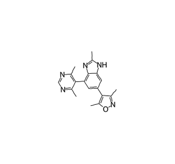 Cc1nc2c(-c3c(C)ncnc3C)cc(-c3c(C)noc3C)cc2[nH]1